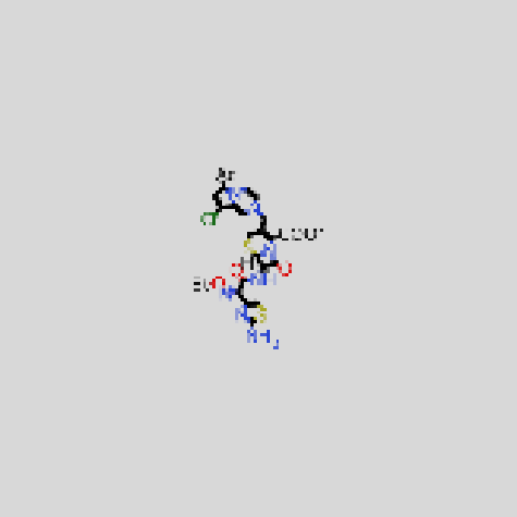 CCO/N=C(\C(=O)N[C@@H]1C(=O)N2C(C(=O)[O-])=C(Cn3cc[n+]4c(C(C)=O)cc(Cl)c-4c3)CS[C@H]12)c1csc(N)n1